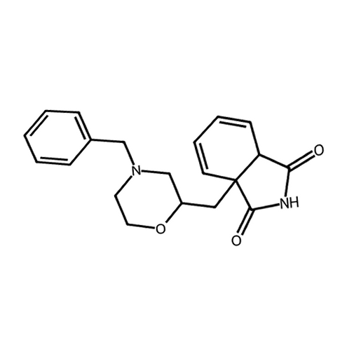 O=C1NC(=O)C2(CC3CN(Cc4ccccc4)CCO3)C=CC=CC12